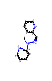 CN(/N=C\c1ccccn1)c1ccccn1